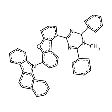 CN1C(c2ccccc2)=NC(c2cccc3oc4c(-n5c6ccccc6c6ccc7ccccc7c65)cccc4c23)=NC1c1ccccc1